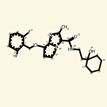 Cc1nc2c(OCc3c(F)cccc3F)cccn2c1C(=O)NCCC1(O)CCCCC1